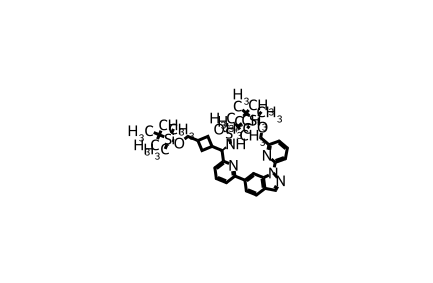 CC(C)(C)[S@@+]([O-])N[C@@H](c1cccc(-c2ccc3cnn(-c4cccc(CO[Si](C)(C)C(C)(C)C)n4)c3c2)n1)C1CC(CO[Si](C)(C)C(C)(C)C)C1